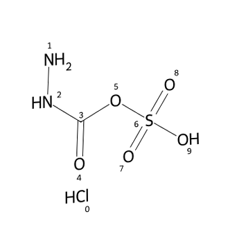 Cl.NNC(=O)OS(=O)(=O)O